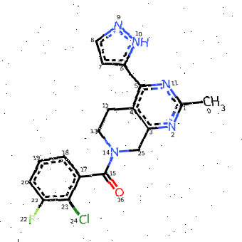 Cc1nc2c(c(-c3ccn[nH]3)n1)CCN(C(=O)c1cccc(F)c1Cl)C2